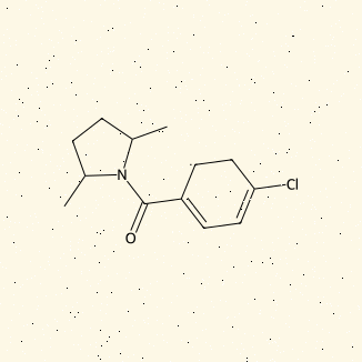 CC1CCC(C)N1C(=O)C1=CC=C(Cl)C[CH]1